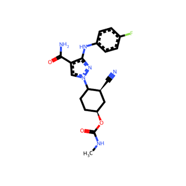 CNC(=O)O[C@H]1CCC(n2cc(C(N)=O)c(Nc3ccc(F)cc3)n2)[C@@H](C#N)C1